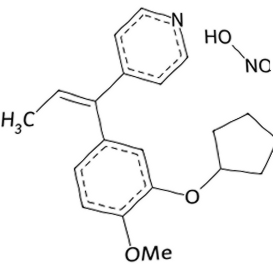 CC=C(c1ccncc1)c1ccc(OC)c(OC2CCCC2)c1.O=NO